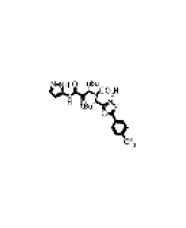 CCCC[C@@H](C(=O)C(=O)Nc1ccn[nH]1)N(C(=O)O)[C@H](c1nnc(-c2ccc(C(F)(F)F)cc2)o1)C(C)(C)C